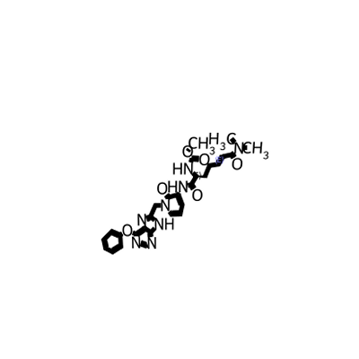 COC(=O)N[C@@H](CC/C=C/C(=O)N(C)C)C(=O)Nc1cccn(Cc2nc3c(Oc4ccccc4)ncnc3[nH]2)c1=O